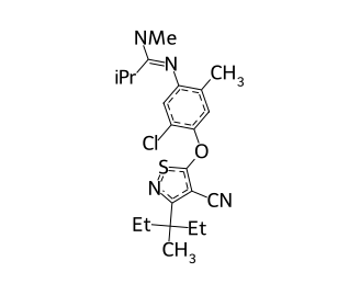 CCC(C)(CC)c1nsc(Oc2cc(C)c(N=C(NC)C(C)C)cc2Cl)c1C#N